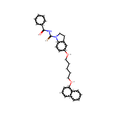 O=C(NC(=S)N1CCc2cc(OCCCCCOc3cccc4ccccc34)ccc21)c1ccccc1